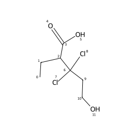 CCC(C(=O)O)C(Cl)(Cl)CCO